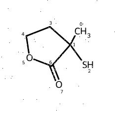 CC1(S)CCOC1=O